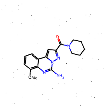 COc1cccc2c1nc(N)n1nc(C(=O)N3CCCCC3)cc21